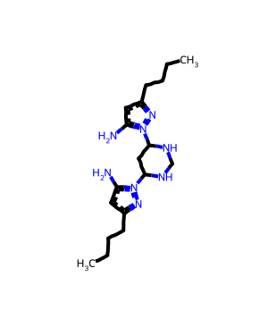 CCCCc1cc(N)n(C2CC(n3nc(CCCC)cc3N)NCN2)n1